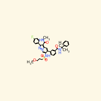 CNC(=O)c1c(-c2ccc(F)cc2)nn2cc(NS(=O)(=O)CCCOC)c(-c3cccc(C(=O)NC(C)(C)c4ccccc4)c3)cc12